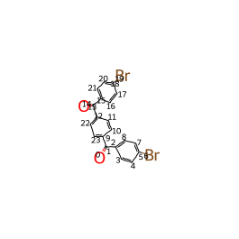 O=C(c1ccc(Br)cc1)c1ccc(C(=O)c2ccc(Br)cc2)cc1